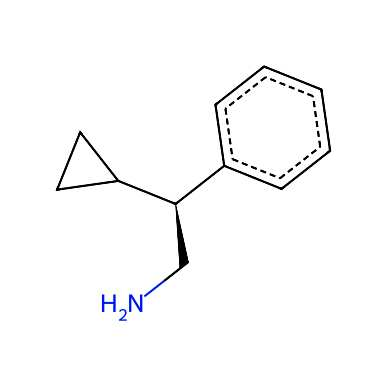 NC[C@H](c1ccccc1)C1CC1